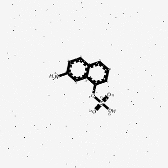 Nc1ccc2cccc(OS(=O)(=O)O)c2c1